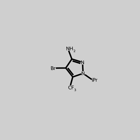 CC(C)n1nc(N)c(Br)c1C(F)(F)F